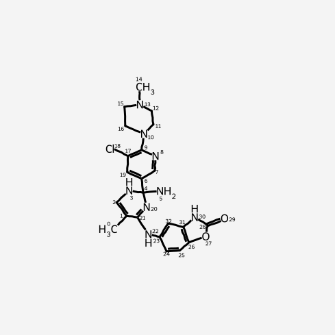 CC1=CNC(N)(c2cnc(N3CCN(C)CC3)c(Cl)c2)N=C1Nc1ccc2oc(=O)[nH]c2c1